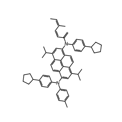 C=C(/C=C\C(C)=C/C)N(c1ccc(C2CCCC2)cc1)c1cc(C(C)C)c2ccc3c(N(c4ccc(C)cc4)c4ccc(C5CCCC5)cc4)cc(C(C)C)c4ccc1c2c43